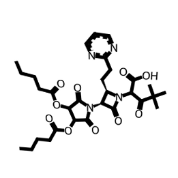 CCCCC(=O)OC1C(=O)N([C@@H]2C(=O)N(C(C(=O)O)C(=O)C(C)(C)C)[C@@H]2CCc2ncccn2)C(=O)C1OC(=O)CCCC